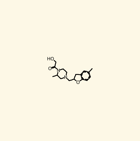 Cc1ccc2c(c1)CC(CN1CCN(C(=O)CO)C(C)C1)O2